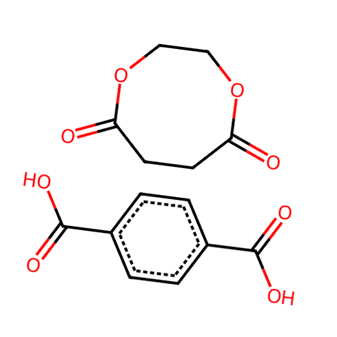 O=C(O)c1ccc(C(=O)O)cc1.O=C1CCC(=O)OCCO1